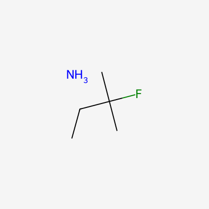 CCC(C)(C)F.N